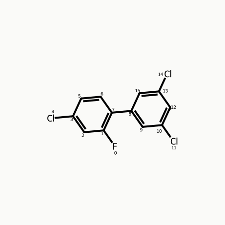 Fc1cc(Cl)ccc1-c1cc(Cl)[c]c(Cl)c1